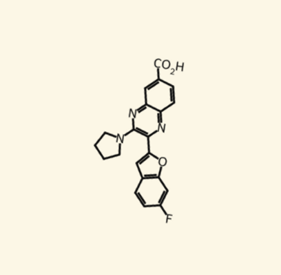 O=C(O)c1ccc2nc(-c3cc4ccc(F)cc4o3)c(N3CCCC3)nc2c1